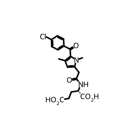 Cc1cc(CC(=O)N[C@@H](CCC(=O)O)C(=O)O)n(C)c1C(=O)c1ccc(Cl)cc1